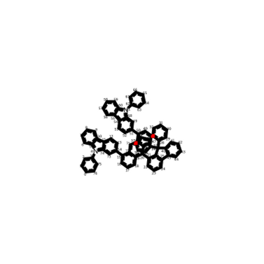 c1ccc(-n2c3ccccc3c3ccc(-c4cccc5c(-c6cccc7c6C(c6ccccc6)(c6ccccc6)c6ccccc6-7)c6cccc(-c7ccc8c9ccccc9n(-c9ccccc9)c8c7)c6cc45)cc32)cc1